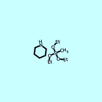 C1CCNCC1.CCO[Si](C)(OCC)OCC